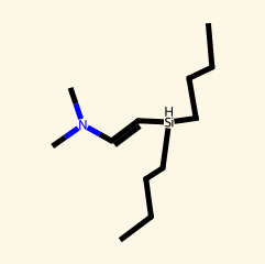 CCCC[SiH](C=CN(C)C)CCCC